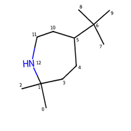 CC1(C)CCC(C(C)(C)C)CCN1